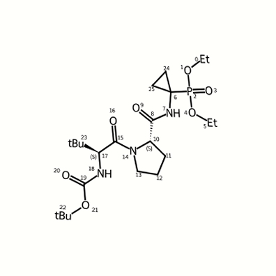 CCOP(=O)(OCC)C1(NC(=O)[C@@H]2CCCN2C(=O)[C@@H](NC(=O)OC(C)(C)C)C(C)(C)C)CC1